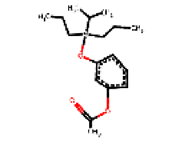 CCC[Si](CCC)(Oc1cccc(OC(C)=O)c1)C(C)C